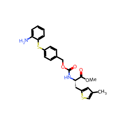 COC(=O)[C@H](Cc1cc(C)cs1)NC(=O)OCc1ccc(Sc2ccccc2N)cc1